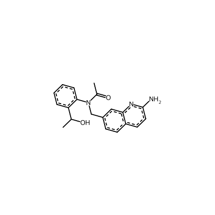 CC(=O)N(Cc1ccc2ccc(N)nc2c1)c1ccccc1C(C)O